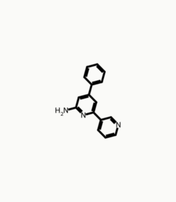 Nc1cc(-c2ccccc2)cc(-c2cccnc2)n1